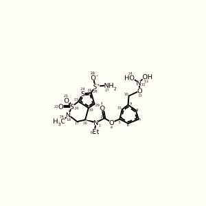 CCN(C(=O)Oc1cccc(CON(O)O)c1)[C@H]1CN(C)S(=O)(=O)c2sc([S+](N)[O-])cc21